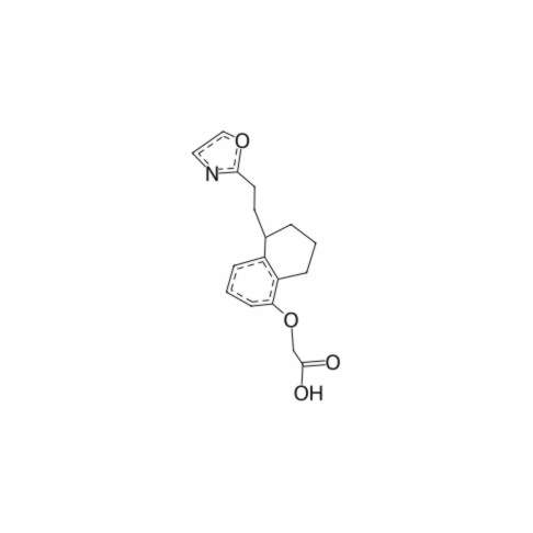 O=C(O)COc1cccc2c1CCCC2CCc1ncco1